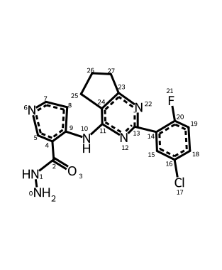 NNC(=O)c1cnccc1Nc1nc(-c2cc(Cl)ccc2F)nc2c1CCC2